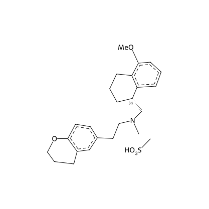 COc1cccc2c1CCC[C@H]2CN(C)CCc1ccc2c(c1)CCCO2.CS(=O)(=O)O